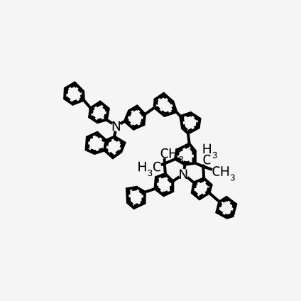 CC1(C)c2cc(-c3ccccc3)ccc2N2c3ccc(-c4ccccc4)cc3C(C)(C)c3cc(-c4cccc(-c5cccc(-c6ccc(N(c7ccc(-c8ccccc8)cc7)c7cccc8ccccc78)cc6)c5)c4)cc1c32